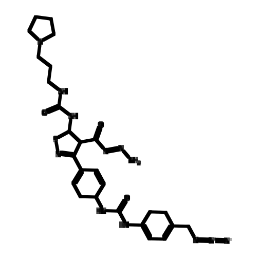 [N-]=[N+]=NCC1=CC=C(NC(=O)NC2C=CC(C3=NSC(NC(=O)NCCCN4CCCC4)C3C(=O)N=NN)=CC2)CC1